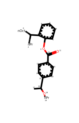 CCCCCCCCC(CCC)c1ccccc1OC(=O)c1ccc(C(C)OCCC)cc1